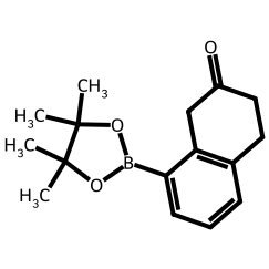 CC1(C)OB(c2cccc3c2CC(=O)CC3)OC1(C)C